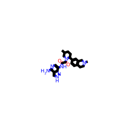 CC1CCC(c2ccc3c(c2)CN(C)CC3)N(C(=O)C(=O)Nc2cnc(N)c3c[nH]nc23)C1